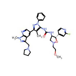 COCCN1C[C@@H](NC(=O)Nc2c(C)c(-c3cnc4c(c3)c(CN3CCCC3)nn4C)nn2-c2ccccc2)[C@H](c2ccnc(F)c2)O1